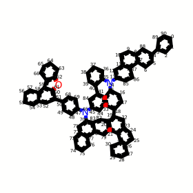 c1ccc(-c2ccc3c(ccc4cc(N(c5ccc(-c6ccc7c(ccc8ccccc87)c6)cc5)c5ccccc5-c5cccc(N(c6ccc(-c7cc8ccccc8c8c7oc7ccccc78)cc6)c6cc7ccccc7c7ccccc67)c5)ccc43)c2)cc1